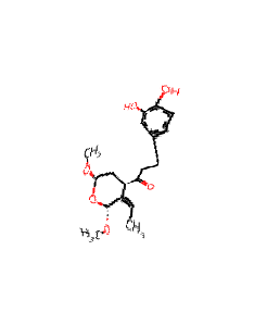 C/C=C1\[C@H](OC)O[C@@H](OC)C[C@H]1C(=O)CCc1ccc(O)c(O)c1